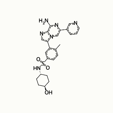 Cc1ccc(S(=O)(=O)N[C@H]2CC[C@H](O)CC2)cc1-c1cnc2c(N)nc(-c3cccnc3)cn12